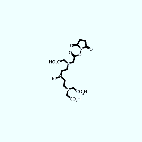 CCN(CCN(CC(=O)O)CC(=O)O)CCN(CC(=O)O)CC(=O)ON1C(=O)CCC1=O